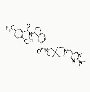 CN(C)c1ncc(CN2CCC3(CC2)CCN(C(=O)c2ccc4c(c2)C(NC(=O)c2cc(C(F)(F)F)ccc2Cl)CC4)C3)cn1